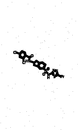 CC(C)c1nnc(NS(=O)(=O)c2ccc3c(c2)CC(NC(=O)c2ccc(Cl)cc2Cl)C3)s1